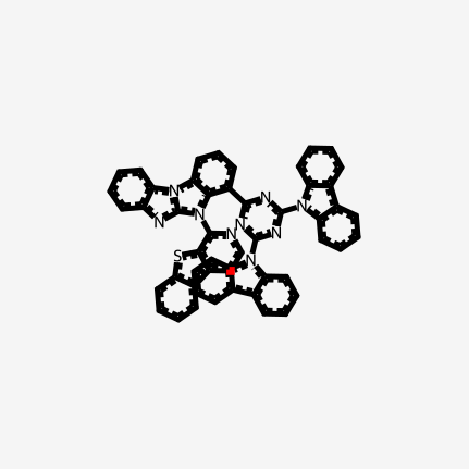 c1ccc2c(c1)nc1n(-c3nccc4c3sc3ccccc34)c3c(-c4nc(-n5c6ccccc6c6ccccc65)nc(-n5c6ccccc6c6ccccc65)n4)cccc3n21